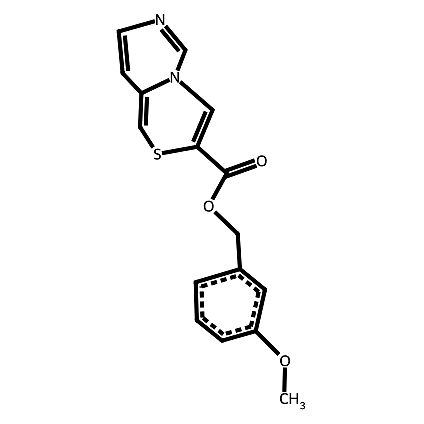 COc1cccc(COC(=O)C2=CN3C=NC=CC3=CS2)c1